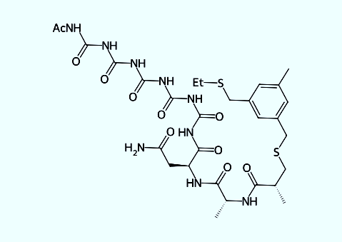 CCSCc1cc(C)cc(CSC[C@H](C)C(=O)N[C@H](C)C(=O)N[C@@H](CC(N)=O)C(=O)NC(=O)NC(=O)NC(=O)NC(=O)NC(=O)NC(C)=O)c1